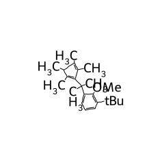 COc1c(C(C)(C)C)cccc1C(C)(C)C1=C(C)C(C)C(C)=C1C